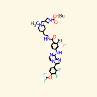 CCc1cc(Nc2nccn3c(-c4ccc(OC(F)F)c(F)c4F)cnc23)ccc1C(=O)NCCC1CC[N+](C)(CC2CN(C(=O)OC(C)(C)C)C2)CC1.[I-]